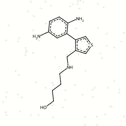 Nc1ccc(N)c(-c2cscc2CNCCCCO)c1